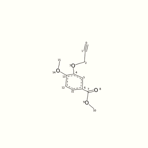 C#CCOc1cc(C(=O)OC)ccc1OC